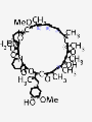 CO[C@H]1C[C@@H]2CC[C@@H](C)[C@@](O)(O2)C(=O)C(=O)N2CCCC[C@H]2C(=O)O[C@H]([C@H](C)C[C@@H]2CC[C@@H](O)[C@H](OC)C2)CC(=O)[C@H](C)/C=C(\C)[C@@H](O)[C@@H](C)C(=O)[C@H](C)C[C@H](C)/C=C/C=C/C=C/1C